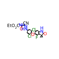 CCOC(=O)NC(=O)C(C#N)=NNc1cc(Cl)c(Oc2ccc3c(c2F)C2(CC2)C(=O)N3)c(Cl)c1